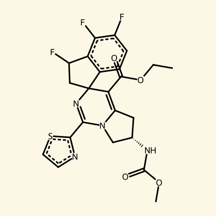 CCOC(=O)C1=C2C[C@H](NC(=O)OC)CN2C(c2nccs2)=NC12CC(F)c1c2ccc(F)c1F